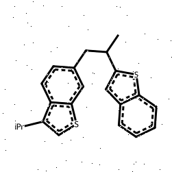 CC(C)c1csc2cc(CC(C)c3cc4ccccc4s3)ccc12